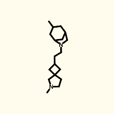 CC1CC2CC(C1)N(CCC1CC3(CCN(C)C3)C1)C2